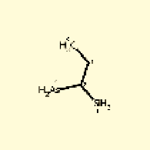 CCC([SiH3])[AsH2]